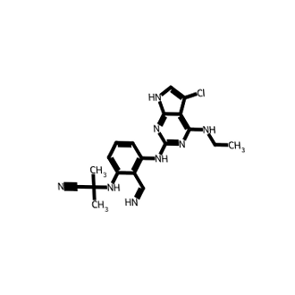 CCNc1nc(Nc2cccc(NC(C)(C)C#N)c2C=N)nc2[nH]cc(Cl)c12